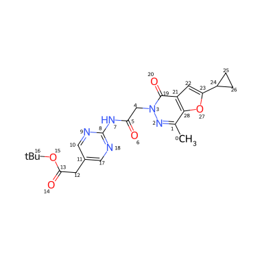 Cc1nn(CC(=O)Nc2ncc(CC(=O)OC(C)(C)C)cn2)c(=O)c2cc(C3CC3)oc12